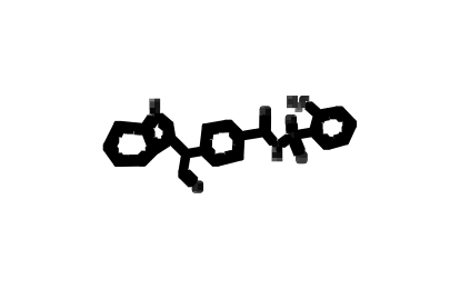 Cc1ccccc1S(=O)(=O)NC(=O)c1ccc(C(C=O)c2c[nH]c3ccccc23)cc1